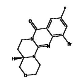 O=c1c2cc(F)cc(Br)c2nc2n1CC[C@H]1COCCN21